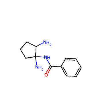 NC1CCCC1(N)NC(=O)c1ccccc1